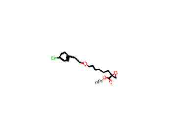 CCCOC(=O)C1(CCCCCCOCCc2ccc(Cl)cc2)CO1